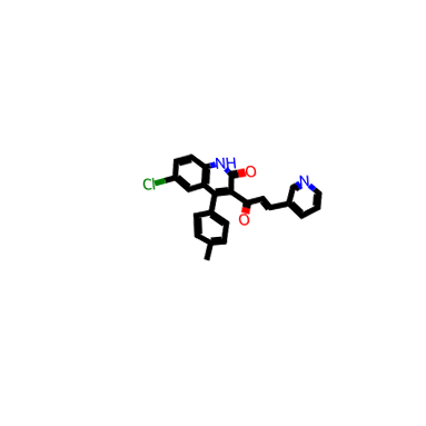 Cc1ccc(-c2c(C(=O)/C=C/c3cccnc3)c(=O)[nH]c3ccc(Cl)cc23)cc1